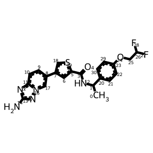 CC(NC(=O)c1cc(-c2ccc3nc(N)nn3c2)cs1)c1ccc(OCC(F)F)cc1